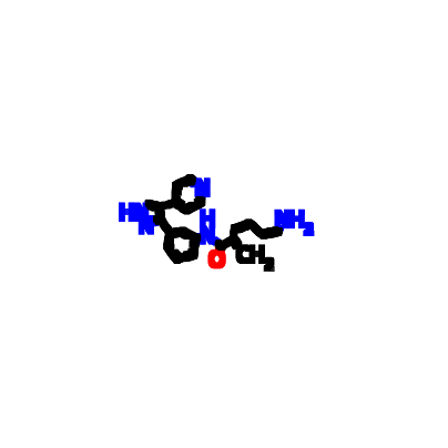 C=C(/C=C\C=C/N)C(=O)Nc1cccc(-c2n[nH]cc2-c2ccncc2)c1